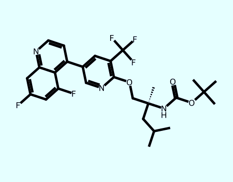 CC(C)C[C@@](C)(COc1ncc(-c2ccnc3cc(F)cc(F)c23)cc1C(F)(F)F)NC(=O)OC(C)(C)C